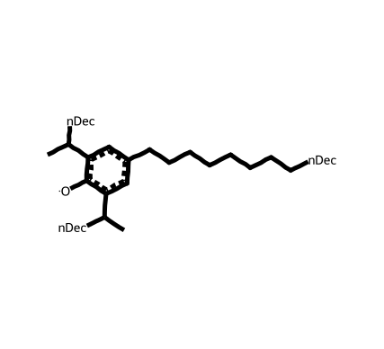 CCCCCCCCCCCCCCCCCCc1cc(C(C)CCCCCCCCCC)c([O])c(C(C)CCCCCCCCCC)c1